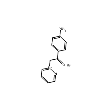 O=C(C[n+]1ccccn1)c1ccc([N+](=O)[O-])cc1.[Br-]